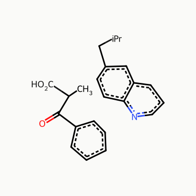 CC(C(=O)O)C(=O)c1ccccc1.CC(C)Cc1ccc2ncccc2c1